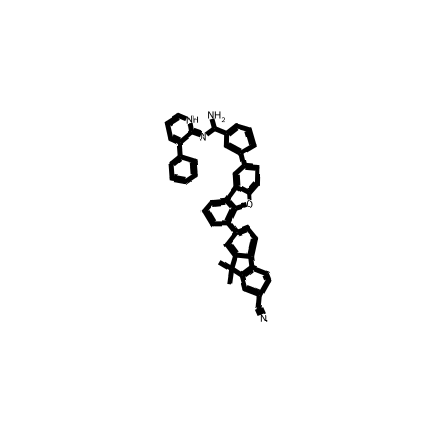 CC1(C)c2cc(C#N)ccc2-c2ccc(-c3cccc4c3oc3ccc(-c5cccc(C(N)/N=c6\[nH]cccc6-c6ccccc6)c5)cc34)cc21